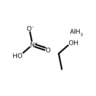 CCO.O=[N+]([O-])O.[AlH3]